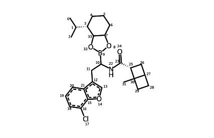 CC(C)[C@@H]1CCCC2OB(C(Cc3coc4c(Cl)cccc34)NC(=O)[C@@H]3CC4CCC43C)OC21